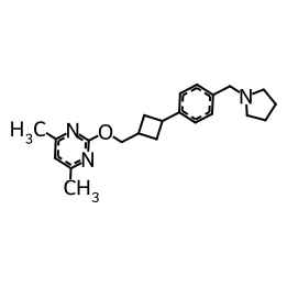 Cc1cc(C)nc(OCC2CC(c3ccc(CN4CCCC4)cc3)C2)n1